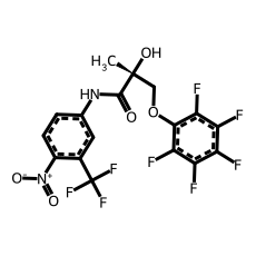 C[C@@](O)(COc1c(F)c(F)c(F)c(F)c1F)C(=O)Nc1ccc([N+](=O)[O-])c(C(F)(F)F)c1